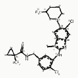 Cn1c(Nc2cc(CNC(=O)C3(C(F)(F)F)CC3)ccc2Cl)nc2cc(Cl)c(N3CCCC(C(F)(F)F)C3)cc21